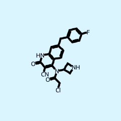 N#Cc1c(N(C(=O)CCl)C2CNC2)c2ccc(Cc3ccc(F)cc3)cc2[nH]c1=O